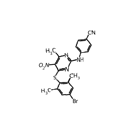 Cc1cc(Br)cc(C)c1Sc1nc(Nc2ccc(C#N)cc2)nc(C)c1[N+](=O)[O-]